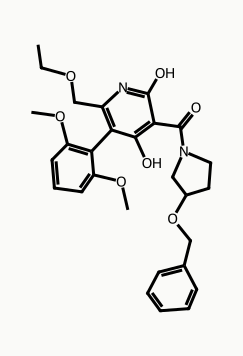 CCOCc1nc(O)c(C(=O)N2CCC(OCc3ccccc3)C2)c(O)c1-c1c(OC)cccc1OC